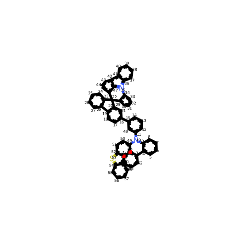 c1ccc(-c2ccccc2N(c2cccc(-c3ccc4c(c3)C3(c5ccccc5-4)c4ccccc4-n4c5ccccc5c5cccc3c54)c2)c2ccc3sc4ccccc4c3c2)cc1